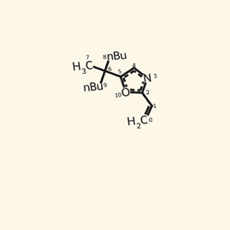 C=Cc1ncc(C(C)(CCCC)CCCC)o1